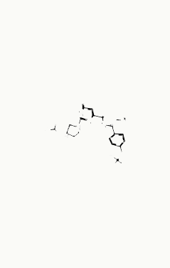 COC[C@@H](NC(=O)c1cc(=O)[nH]c(N2CC[C@H](OC(C)C)C2)n1)c1ccc(OC(F)(F)F)cc1